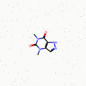 Cn1c(=O)c2[nH]ncc2n(C)c1=O